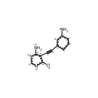 Nc1cccc(C#Cc2c(N)ncnc2Cl)c1